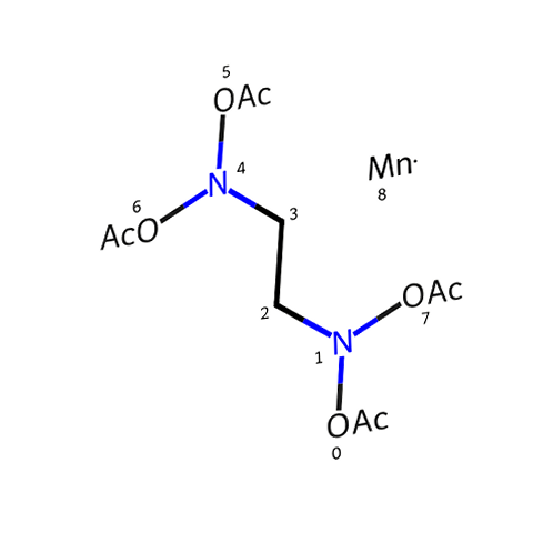 CC(=O)ON(CCN(OC(C)=O)OC(C)=O)OC(C)=O.[Mn]